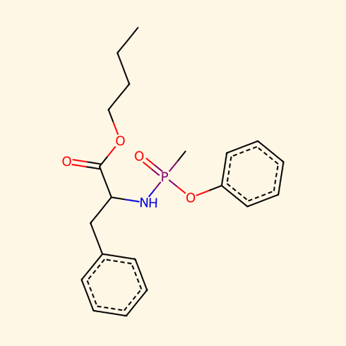 CCCCOC(=O)C(Cc1ccccc1)NP(C)(=O)Oc1ccccc1